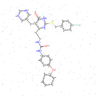 O=C(NCCc1nc(SCc2ccc(F)cc2)[nH]c(=O)c1Cc1cncnc1)Nc1ccc(Oc2ccccc2)cc1